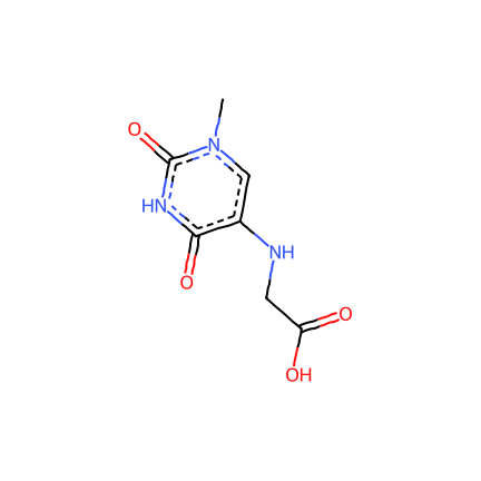 Cn1cc(NCC(=O)O)c(=O)[nH]c1=O